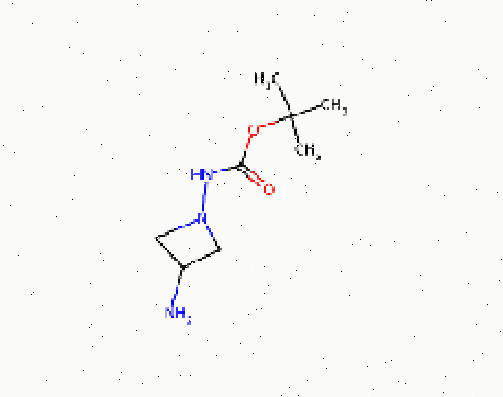 CC(C)(C)OC(=O)NN1CC(N)C1